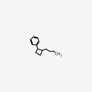 CCCCC1CCC1c1cc[c]cc1